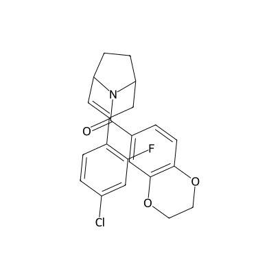 O=C(c1ccc2c(c1)OCCO2)N1C2C=C(c3ccc(Cl)cc3F)CC1CC2